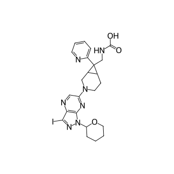 O=C(O)NCC1(c2ccccn2)C2CCN(c3cnc4c(I)nn(C5CCCCO5)c4n3)CC21